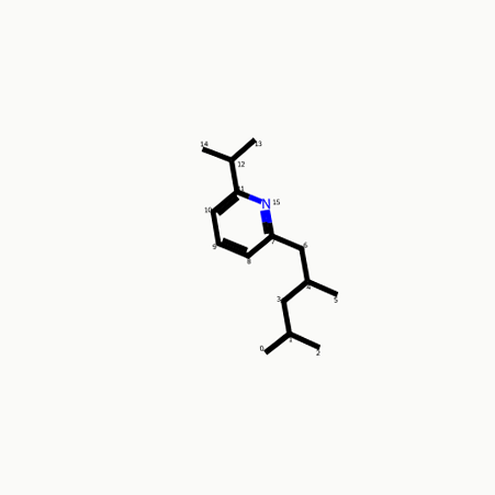 CC(C)CC(C)Cc1cccc(C(C)C)n1